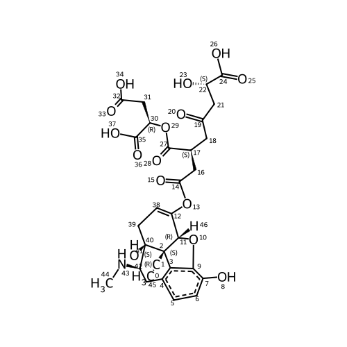 CC[C@]12c3c4ccc(O)c3O[C@H]1C(OC(=O)C[C@H](CC(=O)C[C@H](O)C(=O)O)C(=O)O[C@H](CC(=O)O)C(=O)O)=CC[C@@]2(O)[C@H](NC)C4